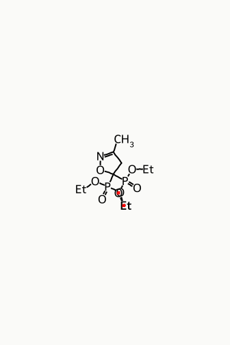 CCOP(=O)(OCC)C1(P(=O)(OCC)OCC)CC(C)=NO1